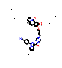 COc1cc2c(cc1OCCCCN1CCN(C(=O)c3nc(-c4ccc(C#N)cc4)n4ccccc34)CC1)C=C[C@@H]1CCCN1C2=O